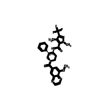 COc1cc(C(=O)N2CC[C@@H](NC(=O)c3c(C)c(C(F)(F)F)nn3C)[C@@H](c3ccccc3)C2)cc2nccnc12